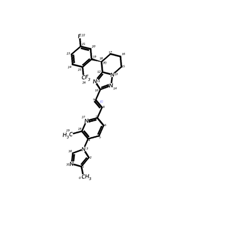 Cc1cn(-c2ccc(/C=C/c3nc4n(n3)CCC[C@@H]4c3cc(F)ccc3C(F)(F)F)nc2C)cn1